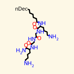 CCCCCCCCCCCCCCCC(=O)NC(CCCCN)C(=O)NCC(=O)NCC(=O)NC(CCCCN)C(N)=O